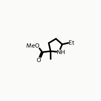 CCC1CCC(C)(C(=O)OC)N1